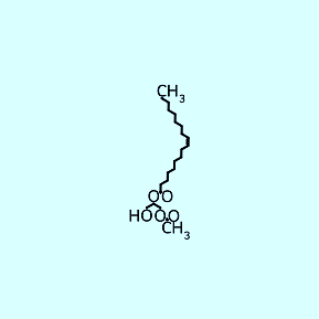 CCCCCCCC/C=C\CCCCCCCC(=O)OC(CO)COC(C)=O